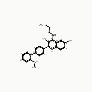 CCOC(=O)CCNc1c(C#N)c(-c2ccc(-c3ccccc3OCC)cc2)nc2ccc(F)cc12